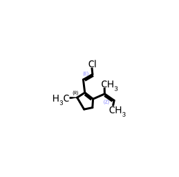 C/C=C(/C)C1=C(/C=C/Cl)[C@H](C)CC1